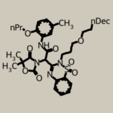 CCCCCCCCCCCCOCCCN1C(C(C(=O)Nc2cc(C)ccc2OCCC)N2C(=O)OC(C)(C)C2=O)=Nc2ccccc2S1(=O)=O